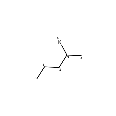 CCC[CH](C)[K]